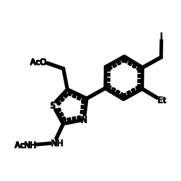 CCc1cc(-c2nc(NNC(C)=O)sc2COC(C)=O)ccc1CI